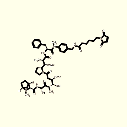 CC[C@H](C)[C@@H]([C@@H](CC(=O)N1CCC[C@H]1[C@H](OC)[C@@H](C)C(=O)N[C@@H](Cc1ccccc1)C(=O)N(C)c1ccc(CNC(=O)CCCCCN2C(=O)C=CC2=O)cc1)OC)N(C)C(=O)[C@@H](NC(=O)[C@@H]1[C@H]2CC[C@H](C2)N1C)C(C)C